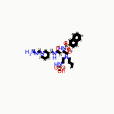 CCCCN(CCNS(=O)(=O)O)C(=O)[C@H](CC(=O)NC[C@@H]1CCCN(C=NN)C1)NS(=O)(=O)c1ccc2ccccc2c1